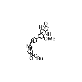 COc1cc(C2CCN(Cc3cc4n(n3)CCN(C(=O)OC(C)(C)C)C4)CC2)ccc1NC1CCC(=O)NC1=O